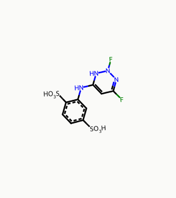 O=S(=O)(O)c1ccc(S(=O)(=O)O)c(NC2=CC(F)=NN(F)N2)c1